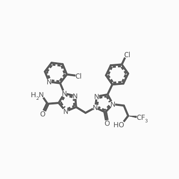 NC(=O)c1nc(Cn2nc(-c3ccc(Cl)cc3)n(C[C@H](O)C(F)(F)F)c2=O)nn1-c1ncccc1Cl